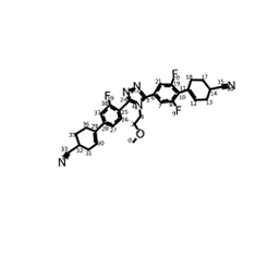 COCCn1c(-c2cc(F)c(C3=CCC(C#N)CC3)c(F)c2)nnc1-c1ccc(C2=CCC(C#N)CC2)cc1F